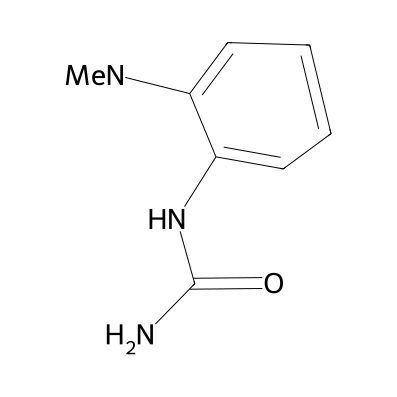 CNc1ccccc1NC(N)=O